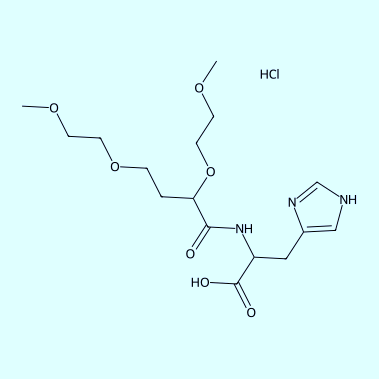 COCCOCCC(OCCOC)C(=O)NC(Cc1c[nH]cn1)C(=O)O.Cl